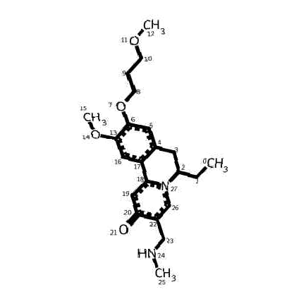 CCC1Cc2cc(OCCCOC)c(OC)cc2-c2cc(=O)c(CNC)cn21